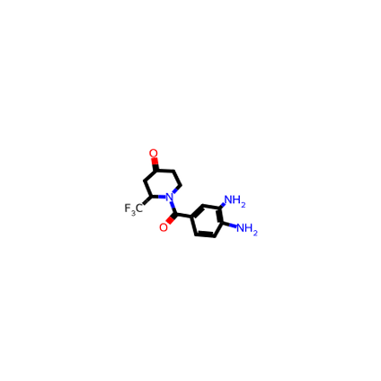 Nc1ccc(C(=O)N2CCC(=O)CC2C(F)(F)F)cc1N